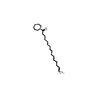 CC=CCCCCCCCCCCCCCC(=O)N1CCCCCC1